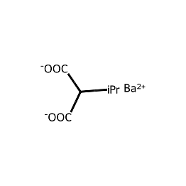 CC(C)C(C(=O)[O-])C(=O)[O-].[Ba+2]